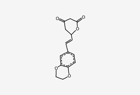 O=C1CC(=O)OC(/C=C/c2ccc3c(c2)OCCO3)C1